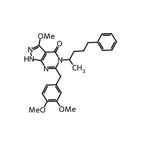 COc1ccc(Cc2nc3[nH]nc(OC)c3c(=O)n2C(C)CCCc2ccccc2)cc1OC